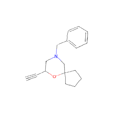 C#CC1CN(Cc2ccccc2)CC2(CCCC2)O1